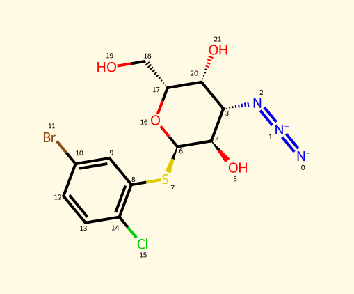 [N-]=[N+]=N[C@@H]1[C@@H](O)[C@@H](Sc2cc(Br)ccc2Cl)O[C@H](CO)[C@@H]1O